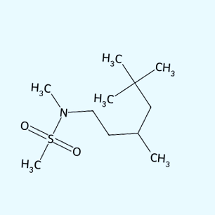 CC(CCN(C)S(C)(=O)=O)CC(C)(C)C